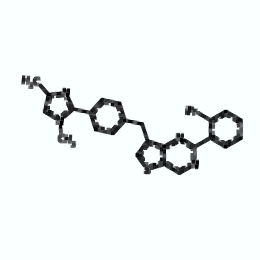 Cc1cn(C)c(-c2ccc(Cc3csc4cnc(-c5ccccc5C(C)C)nc34)cc2)n1